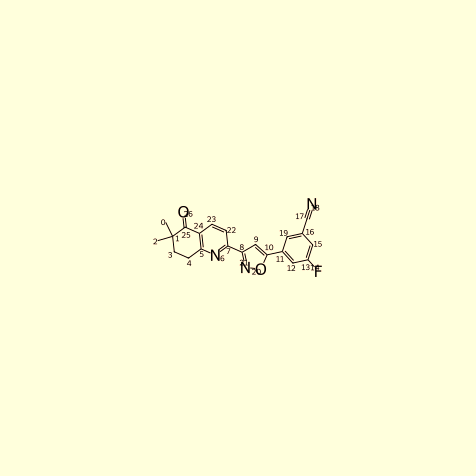 CC1(C)CCc2nc(-c3cc(-c4cc(F)cc(C#N)c4)on3)ccc2C1=O